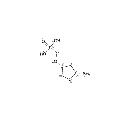 B[C@H]1C[C@@H](OCP(=O)(O)O)CO1